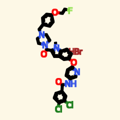 Br.Cn1c(C(=O)N2CCN(Cc3ccc(OCCF)cc3)CC2)cc2cc(Oc3ccc(NC(=O)c4ccc(Cl)c(Cl)c4)cn3)ccc21